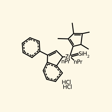 CC[CH2][Zr](=[SiH2])([CH2]CC)([C]1=C(C)C(C)=C(C)C1C)[CH]1C=C(c2ccccc2)c2ccccc21.Cl.Cl